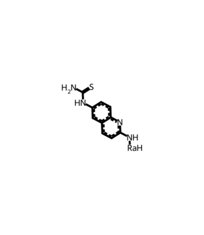 NC(=S)Nc1ccc2nc([NH][RaH])ccc2c1